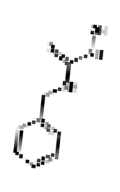 O=C(NO)NCc1ccccc1